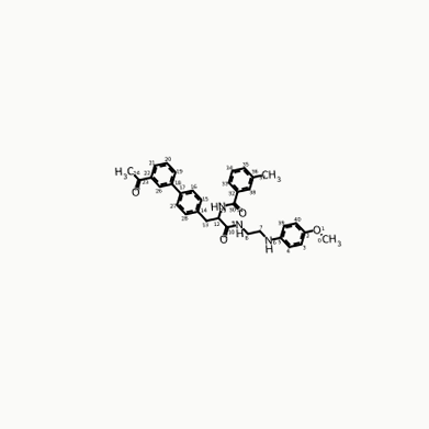 COc1ccc(NCCNC(=O)C(Cc2ccc(-c3cccc(C(C)=O)c3)cc2)NC(=O)c2cccc(C)c2)cc1